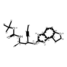 CC#CC(C[C@@H](C)NC(=O)OC(C)(C)C)Nc1nc2c3c(ccc2s1)OCC3